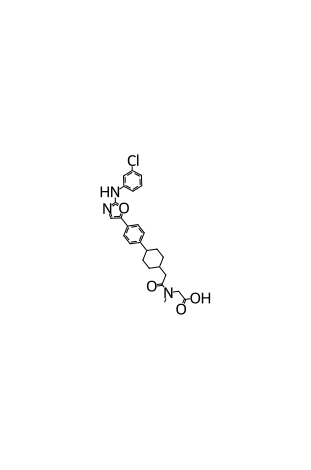 CN(CC(=O)O)C(=O)CC1CCC(c2ccc(-c3cnc(Nc4cccc(Cl)c4)o3)cc2)CC1